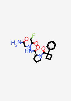 NC(=O)CN(NC(=O)[C@@H]1CCCN1C(=O)C1(c2ccccc2)CCC1)C(=O)CF